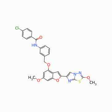 COc1cc(OCc2cccc(NC(=O)c3ccc(Cl)cc3)c2)c2cc(-c3cn4nc(OC)sc4n3)oc2c1